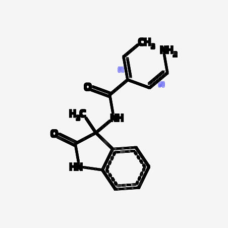 C/C=C(\C=C/N)C(=O)NC1(C)C(=O)Nc2ccccc21